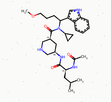 COCCCC(c1c[nH]c2ccccc12)N(C(=O)[C@@H]1CNC[C@H](NC(=O)[C@H](CC(C)C)NC(C)=O)C1)C1CC1